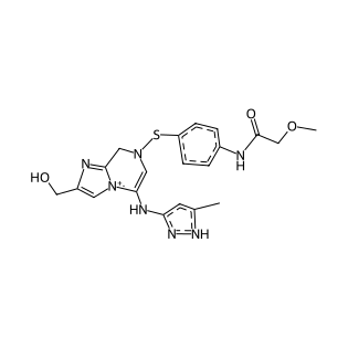 COCC(=O)Nc1ccc(SN2C=C(Nc3cc(C)[nH]n3)[N+]3C=C(CO)N=C3C2)cc1